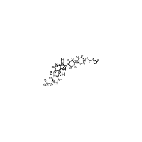 COCCCN1CCN(c2ccc(-c3nc4c(NC5CCN(CC6CC6)CC5)c(Br)cnc4[nH]3)cc2)CC1